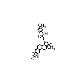 Cc1cnc(NC(=O)CC[C@@H]2CC(=O)[C@@]3(C)CCC4c5cc6[nH]c(=O)oc6cc5CCC4C23)s1